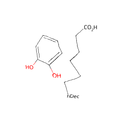 CCCCCCCCCCCCCCCC(=O)O.Oc1ccccc1O